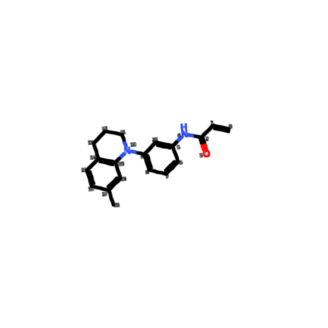 C=CC(=O)Nc1cccc(N2CCCc3ccc(C)cc32)c1